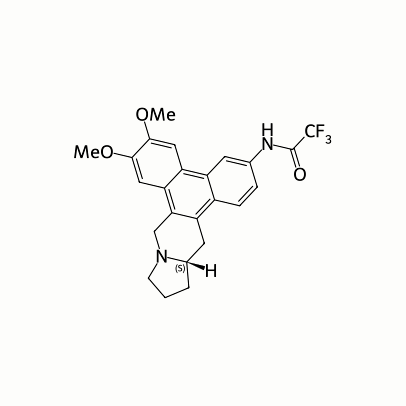 COc1cc2c3c(c4ccc(NC(=O)C(F)(F)F)cc4c2cc1OC)C[C@@H]1CCCN1C3